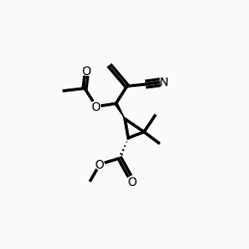 C=C(C#N)C(OC(C)=O)[C@@H]1[C@@H](C(=O)OC)C1(C)C